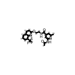 CC(=O)Nc1cc(C(=O)NCCOc2ccc3cccc(C(F)(F)F)c3n2)cc(C)n1